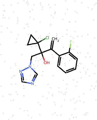 C=C(c1ccccc1F)C(O)(Cn1cncn1)C1(Cl)CC1